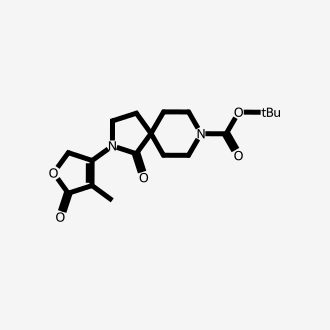 CC1=C(N2CCC3(CCN(C(=O)OC(C)(C)C)CC3)C2=O)COC1=O